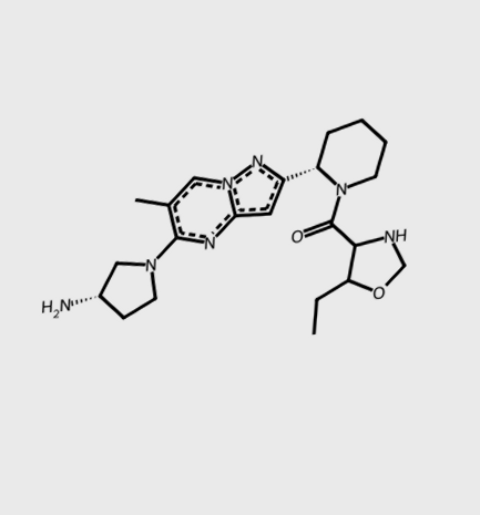 CCC1OCNC1C(=O)N1CCCC[C@H]1c1cc2nc(N3CC[C@H](N)C3)c(C)cn2n1